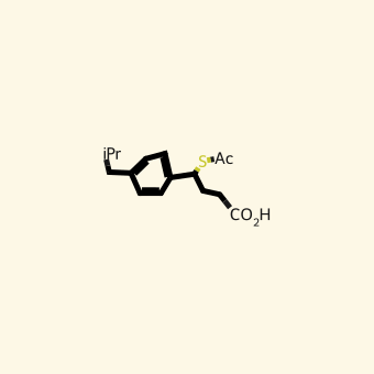 CC(=O)SC(CCC(=O)O)c1ccc(CC(C)C)cc1